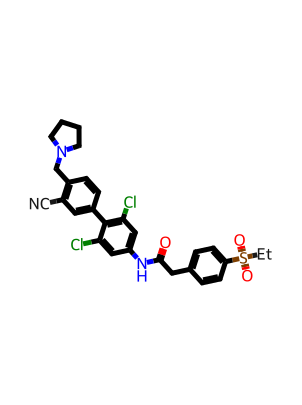 CCS(=O)(=O)c1ccc(CC(=O)Nc2cc(Cl)c(-c3ccc(CN4CCCC4)c(C#N)c3)c(Cl)c2)cc1